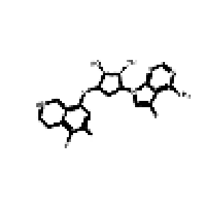 Cc1ncnc2c1c(F)cn2C1CC(Oc2cc(F)c(F)c3c2CNCC3)[C@@H](O)[C@H]1O